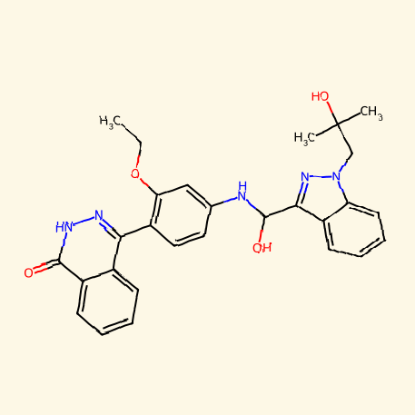 CCOc1cc(NC(O)c2nn(CC(C)(C)O)c3ccccc23)ccc1-c1n[nH]c(=O)c2ccccc12